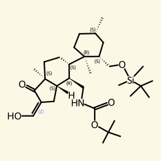 C[C@H]1CC[C@](C)([C@H]2CC[C@]3(C)C(=O)/C(=C\O)C[C@H]3[C@@H]2CNC(=O)OC(C)(C)C)[C@@H](CO[Si](C)(C)C(C)(C)C)C1